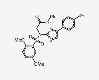 COc1ccc(OC)c(S(=O)(=O)N(CC(=O)OC(C)(C)C)c2nc(-c3ccc(C(C)C)cc3)cs2)c1